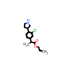 C=CCOC(=O)C(C)c1ccc(C2CCNC2)c(Cl)c1